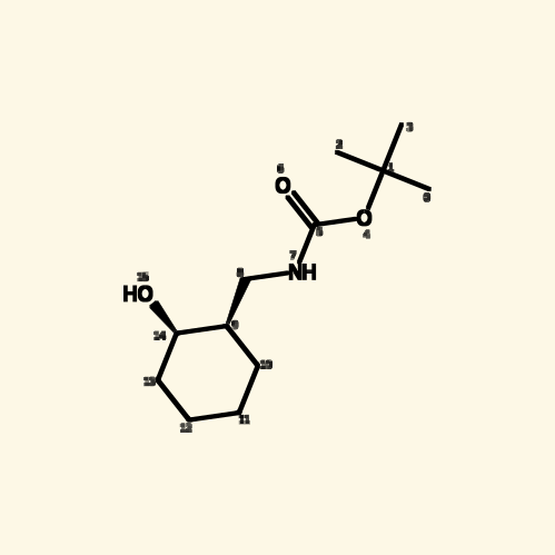 CC(C)(C)OC(=O)NC[C@H]1CCCC[C@H]1O